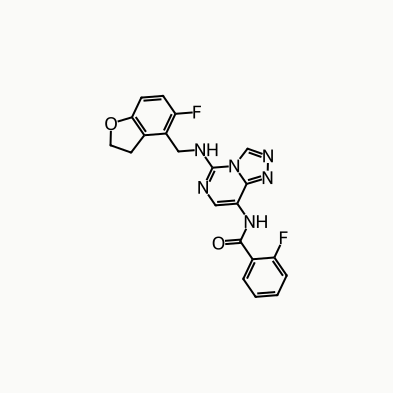 O=C(Nc1cnc(NCc2c(F)ccc3c2CCO3)n2cnnc12)c1ccccc1F